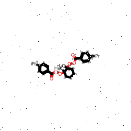 [CH2]C1(OOC(=O)c2ccc(C(C)C)cc2)CCCCC1([CH2])OOC(=O)c1ccc(C(C)C)cc1